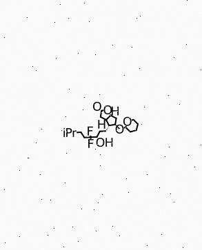 CC(C)CCC(F)(F)C(O)CC[C@@H]1[C@H]2CC(=O)O[C@H]2C[C@H]1OC1CCCCO1